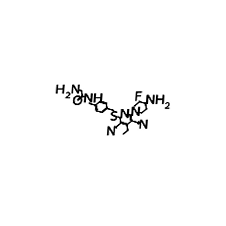 CCc1c(C#N)c(SCc2ccc(CNC(=O)CN)cc2)nc(N2CC[C@@H](N)[C@@H](F)C2)c1C#N